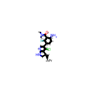 CCC[C@H]1C[C@]12CNc1ncc(-c3ccc(N)c(C(=O)N(C)C)c3F)c(Cl)c12